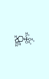 CC(C)(C)N1CC[C@@H]2CN[C@@H]2C1